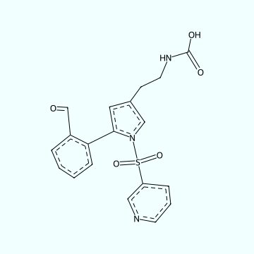 O=Cc1ccccc1-c1cc(CCNC(=O)O)cn1S(=O)(=O)c1cccnc1